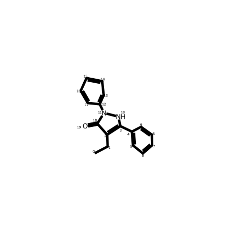 CCc1c(-c2ccccc2)[nH]n(-c2ccccc2)c1=O